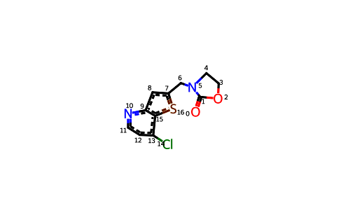 O=C1OCCN1Cc1cc2nccc(Cl)c2s1